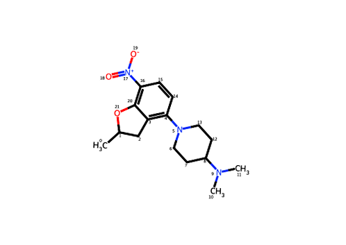 CC1Cc2c(N3CCC(N(C)C)CC3)ccc([N+](=O)[O-])c2O1